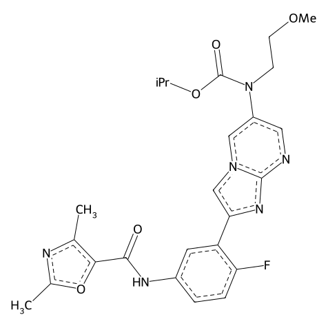 COCCN(C(=O)OC(C)C)c1cnc2nc(-c3cc(NC(=O)c4oc(C)nc4C)ccc3F)cn2c1